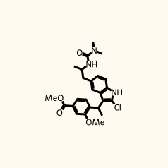 COC(=O)c1ccc(C(C)c2c(Cl)[nH]c3ccc(CC(C)NC(=O)N(C)C)cc23)c(OC)c1